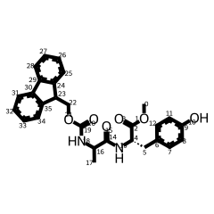 COC(=O)[C@H](Cc1ccc(O)cc1)NC(=O)C(C)NC(=O)OCC1c2ccccc2-c2ccccc21